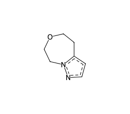 c1cc2n(n1)CCOCC2